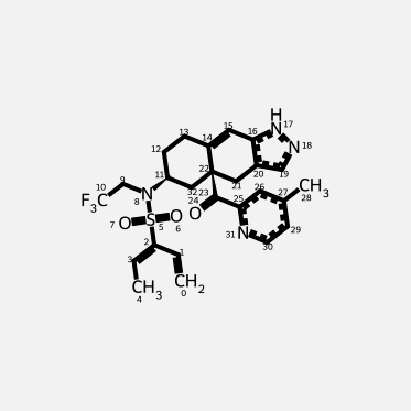 C=C/C(=C\C)S(=O)(=O)N(CC(F)(F)F)[C@H]1CCC2=Cc3[nH]ncc3C[C@]2(C(=O)c2cc(C)ccn2)C1